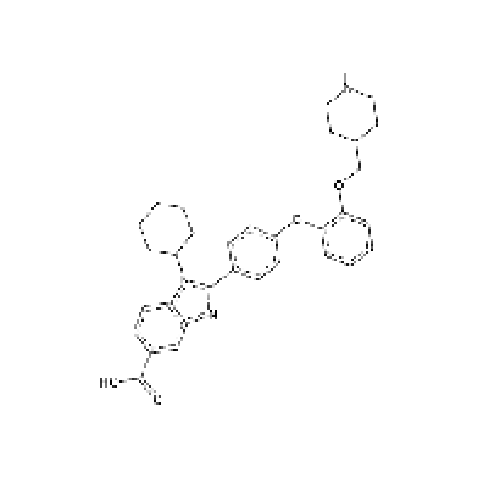 O=C(O)c1ccc2c(c1)nc(-c1ccc(Oc3ccccc3OCC3CCNCC3)cc1)n2C1CCCCC1